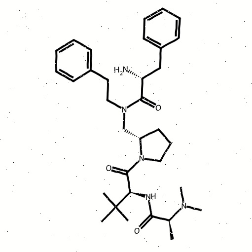 C[C@@H](C(=O)N[C@H](C(=O)N1CCC[C@H]1CN(CCc1ccccc1)C(=O)[C@H](N)Cc1ccccc1)C(C)(C)C)N(C)C